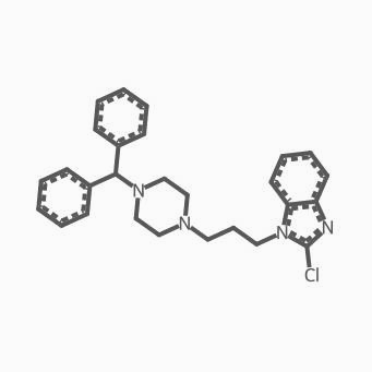 Clc1nc2ccccc2n1CCCN1CCN(C(c2ccccc2)c2ccccc2)CC1